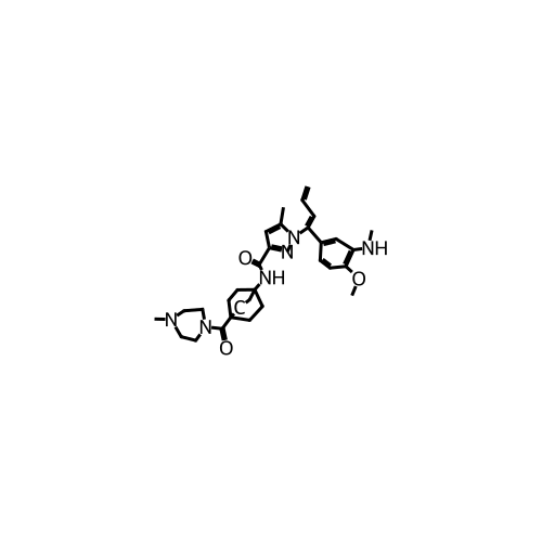 C=C/C=C(/c1ccc(OC)c(NC)c1)n1nc(C(=O)NC23CCC(C(=O)N4CCN(C)CC4)(CC2)CC3)cc1C